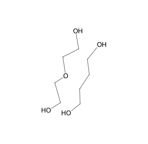 OCCCCO.OCCOCCO